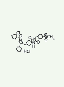 CS(=O)(=O)c1ccc(CN2C(=O)NC3(CCN(CC4CN(C(=O)c5ccccc5Cl)CC4c4ccccc4)CC3)C2=O)cc1.Cl